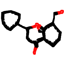 O=Cc1cccc2c(=O)cc(-c3ccccc3)oc12